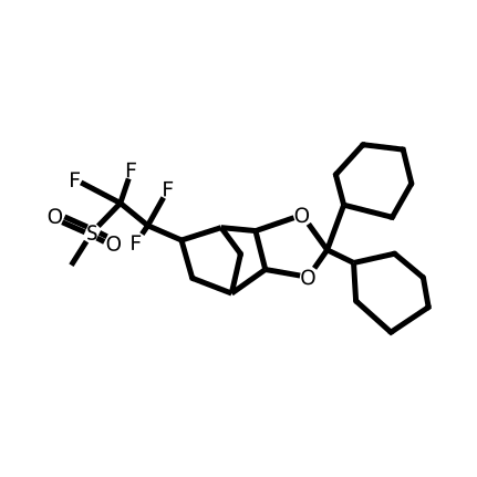 CS(=O)(=O)C(F)(F)C(F)(F)C1CC2CC1C1OC(C3CCCCC3)(C3CCCCC3)OC21